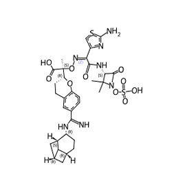 CC1(C)[C@H](NC(=O)/C(=N\O[C@](C)(C(=O)O)[C@H]2CCc3cc(C(=N)N[C@@H]4CC[C@@H]5C[C@@H]6C[C@H]4C56)ccc3O2)c2csc(N)n2)C(=O)N1OS(=O)(=O)O